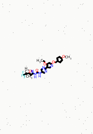 CCOc1cc(OCc2ccc(OC)cc2)ncc1-c1ncc(NC(=O)Nc2cc(C(C)(C)C(F)(F)F)on2)cn1